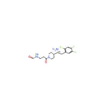 N[C@H](Cc1cc(F)c(F)cc1F)C1CCN(C(=O)CCNC=O)CC1